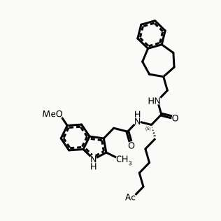 COc1ccc2[nH]c(C)c(CC(=O)N[C@@H](CCCCCC(C)=O)C(=O)NCC3CCc4ccccc4CC3)c2c1